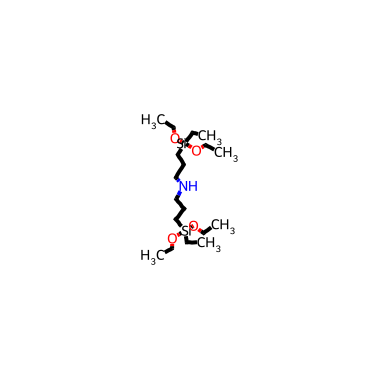 CCO[Si](CC)(CCCNCCC[Si](CC)(OCC)OCC)OCC